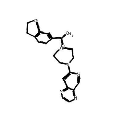 CC(c1ccc2c(c1)OCC2)N1CCN(c2cc3nccnc3cn2)CC1